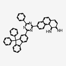 N=C1C=Cc2ccc3cc(-c4nc(-c5ccccc5)nc(-c5ccc6c(c5)C(c5ccccc5)(c5ccccc5)c5ccccc5-6)n4)ccc3c2C1=N